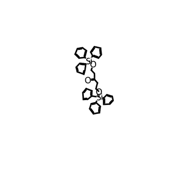 O=C(CCO[Si](c1ccccc1)(c1ccccc1)c1ccccc1)CCO[Si](c1ccccc1)(c1ccccc1)c1ccccc1